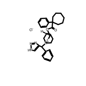 O=C(O[C@H]1C[N+]2(C(c3ccccc3)c3c[nH]nn3)CCC1CC2)C1(c2ccccc2)CCCCCC1.[Cl-]